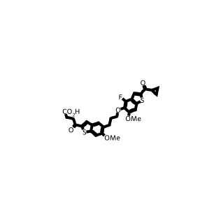 COc1cc2sc(C(=O)CCC(=O)O)cc2cc1CCCOc1c(OC)cc2sc(C(=O)C3CC3)cc2c1F